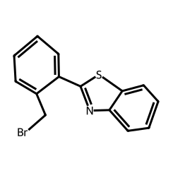 BrCc1ccccc1-c1nc2ccccc2s1